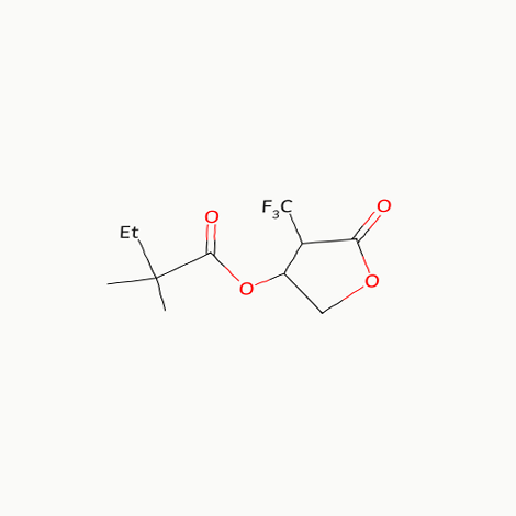 CCC(C)(C)C(=O)OC1COC(=O)C1C(F)(F)F